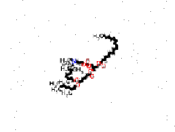 CCCCC/C=C\C/C=C\CCCCCCCC(=O)OCC(COC(=O)CCCCC(OCCC(C)CCC=C(C)C)OCCC(C)CCC=C(C)C)COC(=O)OCCCN(CC)CC